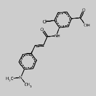 CN(C)c1ccc(/C=C/C(=O)Nc2cc(C(=O)O)ccc2Cl)cc1